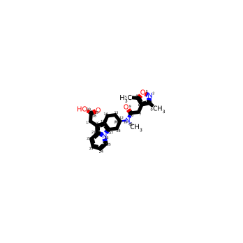 Cc1noc(C)c1CC(=O)N(C)[C@@H]1CCc2c(CC(=O)O)c3ccccn3c2C1